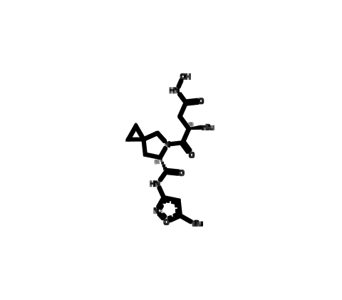 CCCC[C@H](CC(=O)NO)C(=O)N1CC2(CC2)C[C@H]1C(=O)Nc1cc(C(C)(C)C)on1